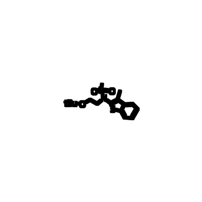 Cc1c(N(CCOC(C)(C)C)S(C)(=O)=O)sc2ccccc12